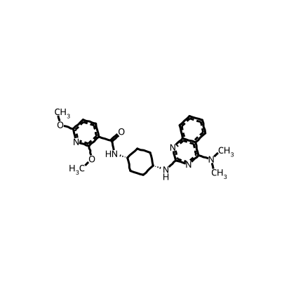 COc1ccc(C(=O)N[C@H]2CC[C@@H](Nc3nc(N(C)C)c4ccccc4n3)CC2)c(OC)n1